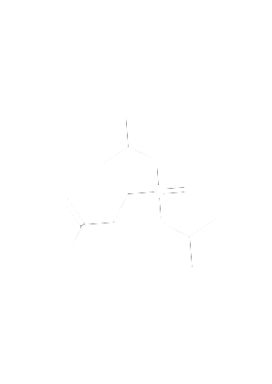 CC(C)OP(=O)(CCC(=O)O)OC(C)C